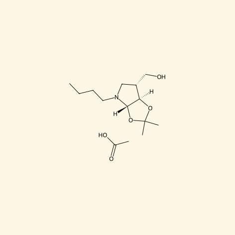 CC(=O)O.CCCCN1C[C@H](CO)[C@H]2OC(C)(C)O[C@@H]21